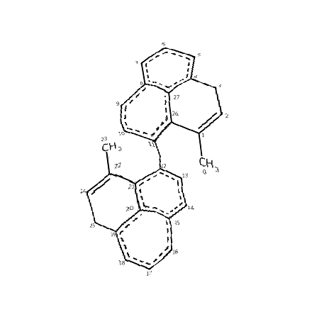 CC1=CCc2cccc3ccc(-c4ccc5cccc6c5c4C(C)=CC6)c1c23